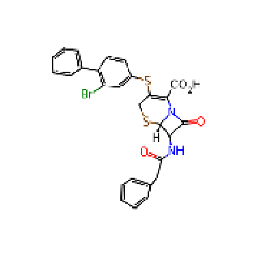 O=C(Cc1ccccc1)N[C@@H]1C(=O)N2C(C(=O)O)=C(Sc3ccc(-c4ccccc4)c(Br)c3)CS[C@@H]12